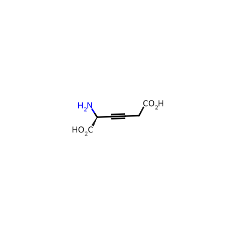 N[C@@H](C#CCC(=O)O)C(=O)O